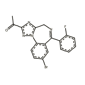 CC(=O)c1nc2n(n1)-c1ccc(Br)cc1C(c1ccccc1F)=NC2